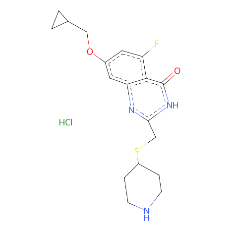 Cl.O=c1[nH]c(CSC2CCNCC2)nc2cc(OCC3CC3)cc(F)c12